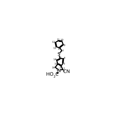 N#CC1c2ccc(SCc3ccccc3)cc2CN1C(=O)O